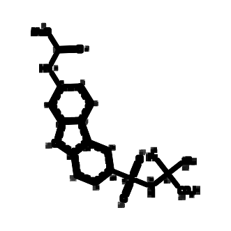 COC(=O)Nc1ccc2c(c1)oc1ccc(S(=O)(=O)NC(C(=O)O)(C(C)C)C(C)(C)C)cc12